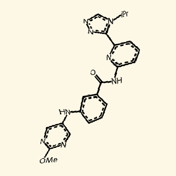 COc1ncc(Nc2cccc(C(=O)Nc3cccc(-c4nncn4C(C)C)n3)c2)cn1